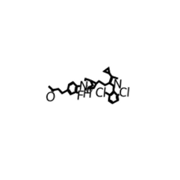 CC(=O)CCc1ccc(N2CC3C[C@@H]2CC3CCC2=C(C3CC3)CN=C2c2c(Cl)cccc2Cl)c(F)c1